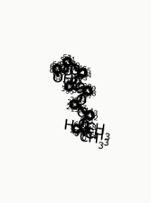 CC(c1ccccc1OCc1ccccc1OCc1ccccc1OCc1ccccc1OCc1ccccc1OCc1ccccc1OCc1ccccc1OCc1ccccc1O)C(C)(C)C